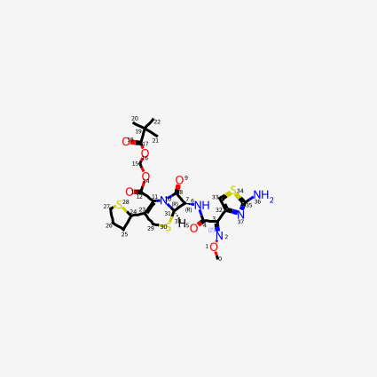 CO/N=C(\C(=O)N[C@@H]1C(=O)N2C(C(=O)OCOC(=O)C(C)(C)C)=C(C3CCCS3)CS[C@H]12)c1csc(N)n1